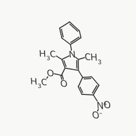 COC(=O)c1c(-c2ccc([N+](=O)[O-])cc2)c(C)n(-c2ccccc2)c1C